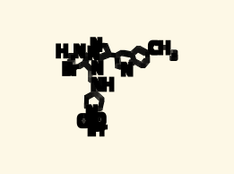 Cc1ccc2ncc(-c3cnn4c(N)c(Br)c(CNC5CCN(S(=O)(=O)C(C)C)CC5)nc34)cc2c1